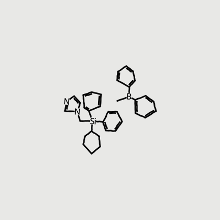 CB(c1ccccc1)c1ccccc1.c1ccc([Si](Cn2ccnc2)(c2ccccc2)C2CCCCC2)cc1